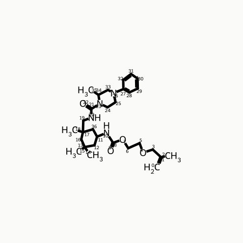 C=C(C)COCCOC(=O)NC1CC(C)(C)CC(C)(CNC(=O)N2CCN(c3cc[c]cc3)CC2C)C1